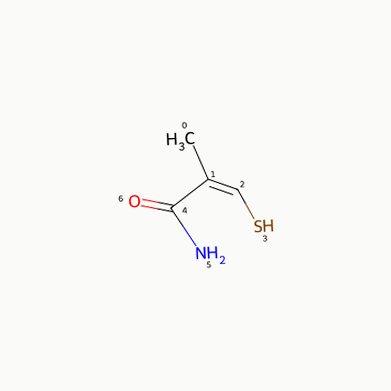 CC(=CS)C(N)=O